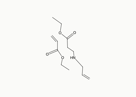 C=CC(=O)OCC.C=CCNCCC(=O)OCC